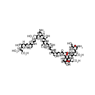 NC(=O)C[C@H](NC(=O)[C@H](CO)NC(=O)[C@H](CC(=O)O)NC(=O)[C@H](CO)NC(=O)CNC(=O)[C@H](CO)NC(=O)CNC(=O)[C@H](CC(=O)O)NC(=O)[C@H](CC(N)=O)NC(=O)[C@H](CO)NC(=O)[C@H](CC(=O)O)NC(=O)[C@H](CO)NC(=O)[C@H](CC(=O)O)NC(=O)[C@H](CC(N)=O)NC(=O)[C@@H](N)CO)C(=O)N[C@@H](CC(=O)O)C(=O)NCC(=O)N[C@@H](CO)C(=O)NCC(=O)N[C@@H](CO)C(=O)N[C@@H](CC(=O)O)C(=O)O